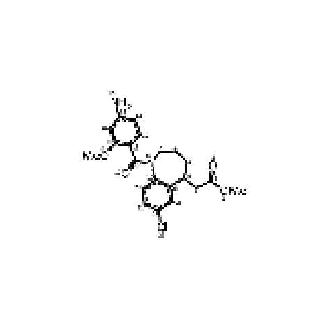 COC(=O)CC1CCCN(C(=O)c2ccc(N)cc2OC)c2ccc(Cl)cc21